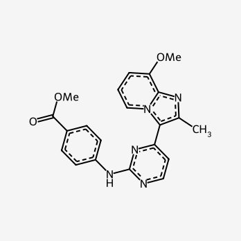 COC(=O)c1ccc(Nc2nccc(-c3c(C)nc4c(OC)cccn34)n2)cc1